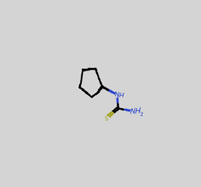 NC(=S)NC1CCCC1